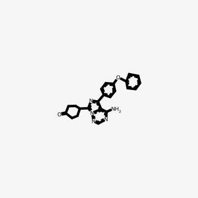 Nc1ncnn2c(C3CCC(=O)CC3)nc(-c3ccc(Oc4ccccc4)cc3)c12